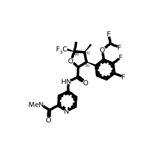 CNC(=O)c1cc(NC(=O)C2O[C@@](C)(C(F)(F)F)[C@@H](C)[C@H]2c2ccc(F)c(F)c2OC(F)F)ccn1